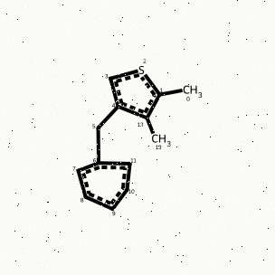 Cc1scc(Cc2ccccc2)c1C